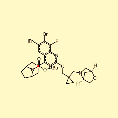 CC(C)c1cc2c(N3CC4CCC(C3)N4C(=O)OC(C)(C)C)nc(OCC3(CN4C[C@@H]5C[C@H]4CO5)CC3)nc2c(F)c1Br